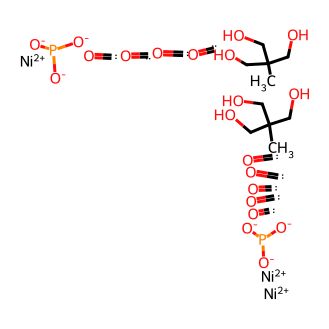 CC(CO)(CO)CO.CC(CO)(CO)CO.[C]=O.[C]=O.[C]=O.[C]=O.[C]=O.[C]=O.[C]=O.[C]=O.[C]=O.[Ni+2].[Ni+2].[Ni+2].[O-]P([O-])[O-].[O-]P([O-])[O-]